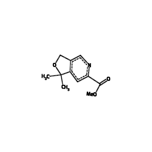 COC(=O)c1cc2c(cn1)COC2(C)C